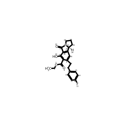 CCOC(=O)c1c(CCc2ccc(F)cc2)cc2c(c1O)C(=O)N1CCC[C@@H]21